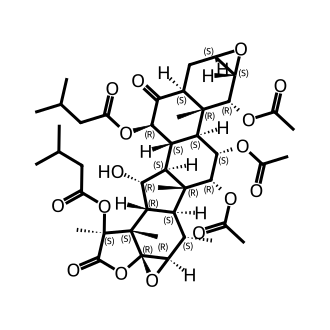 CC(=O)O[C@H]1[C@H]2[C@H]([C@@H]3[C@@H](O)[C@@H]4[C@H]([C@H](C)[C@H]5O[C@]56OC(=O)[C@@](C)(OC(=O)CC(C)C)[C@]46C)[C@@]3(C)[C@H]1OC(C)=O)[C@@H](OC(=O)CC(C)C)C(=O)[C@H]1C[C@@H]3O[C@@H]3[C@H](OC(C)=O)[C@]21C